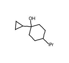 CC(C)C1CCC(O)(C2CC2)CC1